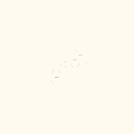 CCNc1ccc(NS(=O)(=O)c2cc(C)c(O)c(C(N)=O)c2)cc1